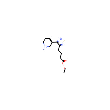 CCOC(=O)CCCc1nsnc1C1=CCCN(C)C1